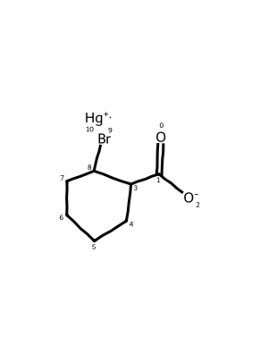 O=C([O-])C1CCCCC1Br.[Hg+]